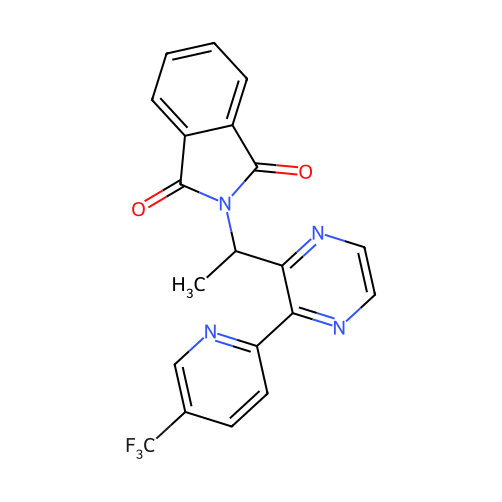 CC(c1nccnc1-c1ccc(C(F)(F)F)cn1)N1C(=O)c2ccccc2C1=O